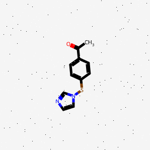 CC(=O)c1ccc(Sn2ccnc2)cc1